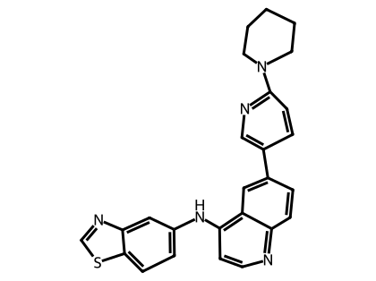 c1cc(Nc2ccc3scnc3c2)c2cc(-c3ccc(N4CCCCC4)nc3)ccc2n1